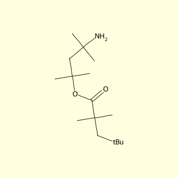 CC(C)(C)CC(C)(C)C(=O)OC(C)(C)CC(C)(C)N